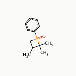 CC1CP(=O)(c2ccccc2)C1(C)C